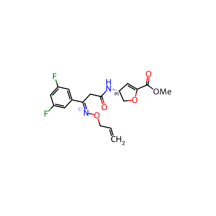 C=CCO/N=C(\CC(=O)N[C@@H]1C=C(C(=O)OC)OC1)c1cc(F)cc(F)c1